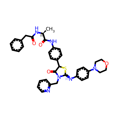 C[C@H](NC(=O)Cc1ccccc1)C(=O)Nc1ccc(C2S/C(=N\c3ccc(N4CCOCC4)cc3)N(Cc3ccccn3)C2=O)cc1